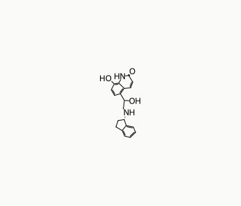 O=c1ccc2c(C(O)CN[C@H]3CCc4ccccc43)ccc(O)c2[nH]1